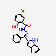 O=C(N/N=C(\c1ccccc1)c1cc2ccccc2[nH]1)c1cc(Br)ccc1O